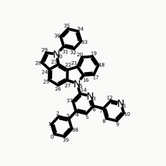 c1ccc(-c2cc(-c3cccnc3)nc(-n3c4ccccc4c4c5c(ccc43)ccn5-c3ccccc3)c2)cc1